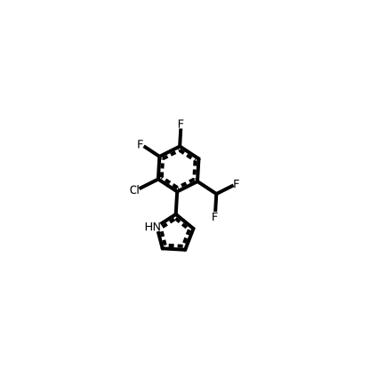 Fc1cc(C(F)F)c(-c2ccc[nH]2)c(Cl)c1F